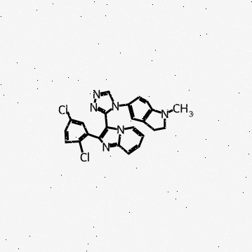 CN1CCc2cc(-n3cnnc3-c3c(-c4cc(Cl)ccc4Cl)nc4ccccn34)ccc21